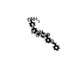 NC(=O)C1CCN(c2cncc(NC(=O)N3CCN(C(=O)c4cccc(OCCC5CCCCC5)c4)CC3)c2)CC1